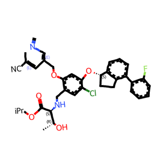 C=N/C=C(\C=C(/C)C#N)COc1cc(O[C@H]2CCc3c(-c4ccccc4F)cccc32)c(Cl)cc1CN[C@H](C(=O)OC(C)C)[C@@H](C)O